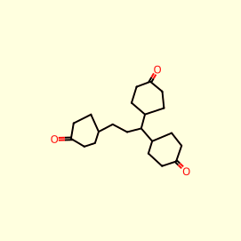 O=C1CCC(CCC(C2CCC(=O)CC2)C2CCC(=O)CC2)CC1